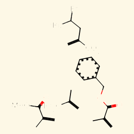 C=C(C)C(=O)O.C=C(C)C(=O)OC.C=C(C)C(=O)OCc1ccccc1.C=C(CC(CC)CCCC)C(=O)O